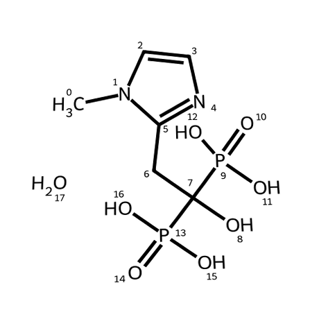 Cn1ccnc1CC(O)(P(=O)(O)O)P(=O)(O)O.O